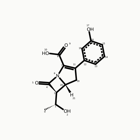 C[C@@H](O)[C@H]1C(=O)N2C(C(=O)O)=C(c3cccc(O)c3)C[C@H]12